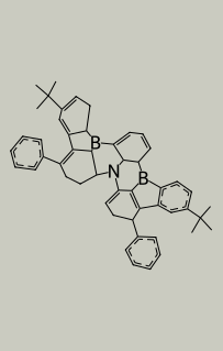 CC(C)(C)C1=CCC2B3C4=CC=CC5B6C7=C(c8cc(C(C)(C)C)ccc86)C(c6ccccc6)CC=C7N(C6CCC(c7ccccc7)=C(C2=C1)C36)C45